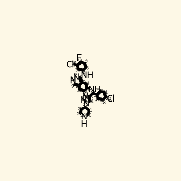 Fc1ccc(Nc2nncc3ccc(N[C@@H](c4ccc(Cl)cc4)c4cn(C5CCNCC5)nn4)cc23)cc1Cl